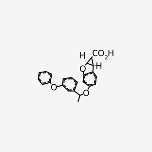 CC(Oc1ccc2c(c1)O[C@H]1[C@H](C(=O)O)[C@@H]21)c1cccc(Oc2ccccc2)c1